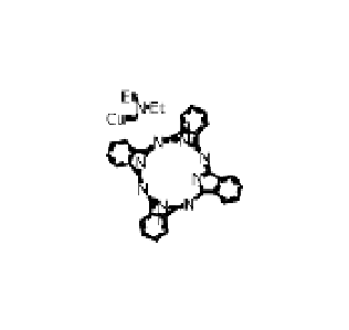 CCN([CH]=[Cu])CC.c1ccc2c(c1)-c1nc-2nc2[nH]c(nc3nc(nc4[nH]c(n1)c1ccccc41)-c1ccccc1-3)c1ccccc21